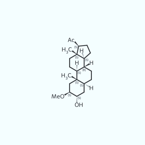 CO[C@H]1C[C@@]2(C)[C@@H](CC[C@@H]3[C@@H]2CC[C@]2(C)[C@@H](C(C)=O)CC[C@@H]32)C[C@@H]1O